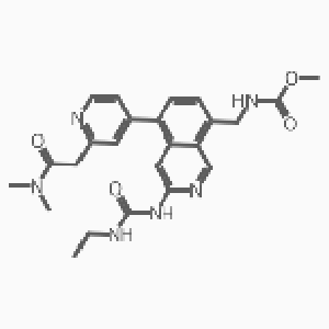 CCNC(=O)Nc1cc2c(-c3ccnc(CC(=O)N(C)C)c3)ccc(CNC(=O)OC)c2cn1